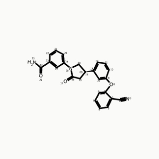 N#Cc1ccccc1Oc1cccc([C@H]2CC(=O)N(c3cccc(C(N)=O)c3)C2)c1